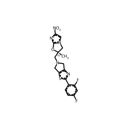 C[C@]1(CN2Cc3nc(-c4ccc(F)cc4F)sc3C2)Cn2cc([N+](=O)[O-])nc2O1